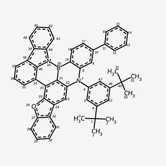 CC(C)(C)c1cc(N2c3cc(-c4ccccc4)ccc3B3c4c2cc2c(oc5ccccc52)c4-c2cccc4c5ccccc5n3c24)cc(C(C)(C)C)c1